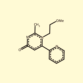 COCCn1c(-c2ccccn2)cc(=O)nc1C